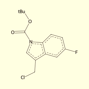 CC(C)(C)OC(=O)n1cc(CCl)c2cc(F)ccc21